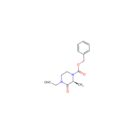 C[C@H]1C(=O)N(CC=O)CCN1C(=O)OCc1ccccc1